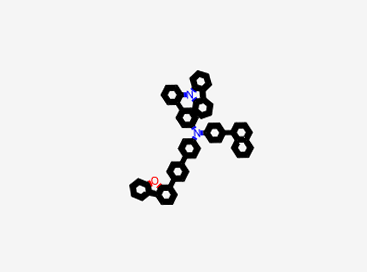 c1ccc(-n2c3ccccc3c3ccccc32)c(-c2ccc(N(c3ccc(-c4ccc(-c5cccc6c5oc5ccccc56)cc4)cc3)c3ccc(-c4cccc5ccccc45)cc3)cc2)c1